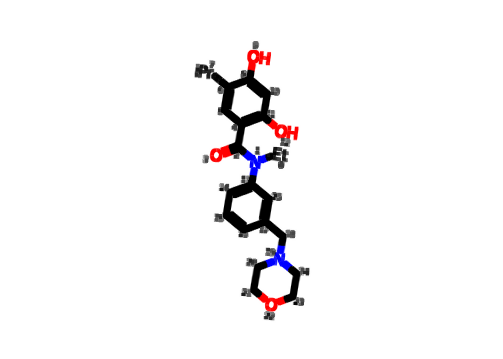 CCN(C(=O)c1cc(C(C)C)c(O)cc1O)c1cccc(CN2CCOCC2)c1